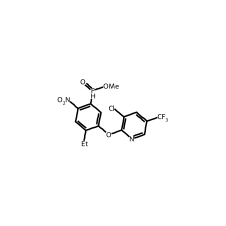 CCc1cc([N+](=O)[O-])c([PH](=O)OC)cc1Oc1ncc(C(F)(F)F)cc1Cl